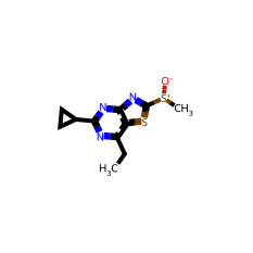 CCc1nc(C2CC2)nc2nc([S+](C)[O-])sc12